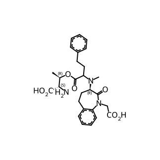 C[C@@H](OC(=O)C(CCc1ccccc1)N(C)[C@@H]1CCc2ccccc2N(CC(=O)O)C1=O)[C@H](N)C(=O)O